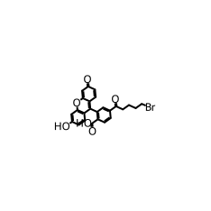 O=C(CCCCBr)c1ccc(C(=O)O)c(-c2c3ccc(=O)cc-3oc3cc(O)ccc23)c1